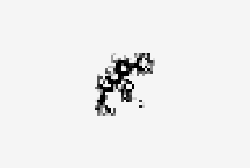 CC(C)(C)C#Cc1cnc2c(c1)[C@@]1(COC(N)=N1)c1cc(-c3cncnc3)cc(F)c1O2